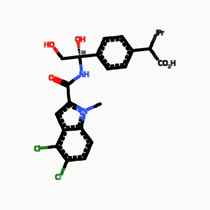 CC(C)C(C(=O)O)c1ccc([C@](O)(CO)NC(=O)c2cc3c(Cl)c(Cl)ccc3n2C)cc1